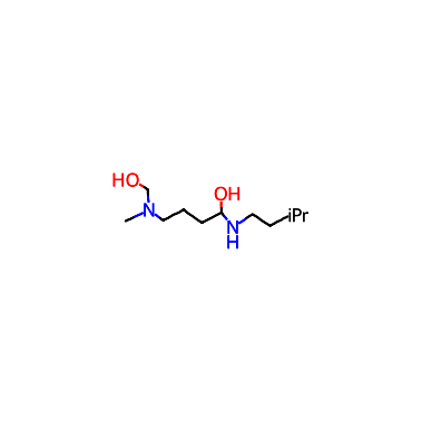 CC(C)CCNC(O)CCCN(C)CO